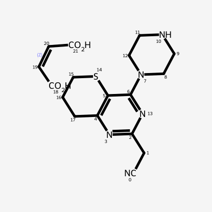 N#CCc1nc2c(c(N3CCNCC3)n1)SCCC2.O=C(O)/C=C\C(=O)O